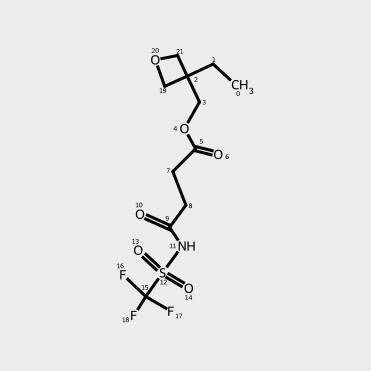 CCC1(COC(=O)CCC(=O)NS(=O)(=O)C(F)(F)F)COC1